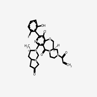 C=CC(=O)N1CCN2C(=O)c3c(N4CN5CC(=O)CC5C[C@@H]4C)nc(-c4c(O)cccc4F)c(Cl)c3OC[C@H]2C1